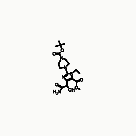 CCn1c(N2CCN(C(=O)OC(C)(C)C)CC2)nc(C(O)C(N)=O)c1C(=O)OC